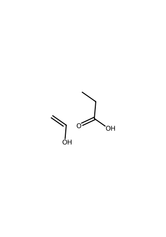 C=CO.CCC(=O)O